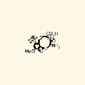 COc1cc(O[Si](C)(C)C(C)(C)C)c2c(c1C)C(=O)OC[C@H](N)C(=O)N[C@H](C(=O)O)CSC2